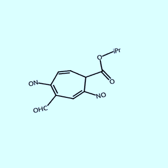 CC(C)OC(=O)C1C=CC(N=O)=C(C=O)C=C1N=O